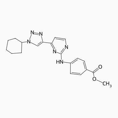 COC(=O)c1ccc(Nc2nccc(-c3cn(C4CCCCC4)nn3)n2)cc1